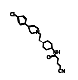 N#CCCCC(=O)N[C@H]1CC[C@H](CCN2CC=C(c3ccc(Cl)cc3)CC2)CC1